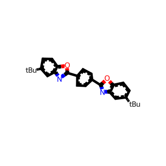 CC(C)(C)c1ccc2oc(-c3ccc(-c4nc5cc(C(C)(C)C)ccc5o4)cc3)nc2c1